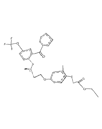 CCOC(=O)CSc1ccc(OCC[C@@H](C)Oc2ccc(OC(F)(F)F)cc2C(=O)c2ccccc2)cc1C